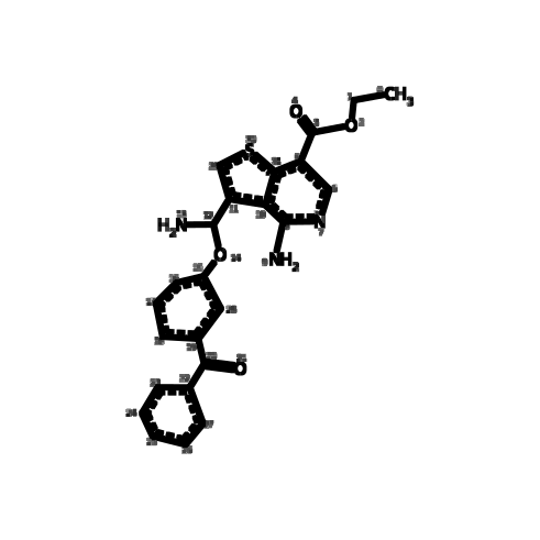 CCOC(=O)c1cnc(N)c2c(C(N)Oc3cccc(C(=O)c4ccccc4)c3)csc12